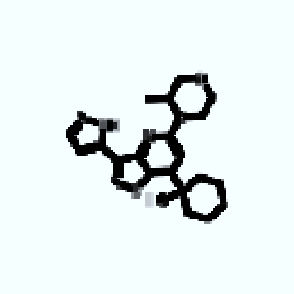 CC1COCCN1c1cc(C2(O)CCCCC2)c2snc(-c3ccn[nH]3)c2n1